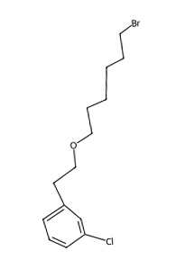 Clc1cccc(CCOCCCCCCBr)c1